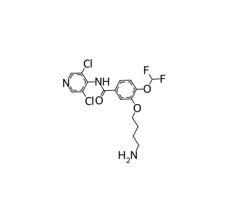 NCCCCOc1cc(C(=O)Nc2c(Cl)cncc2Cl)ccc1OC(F)F